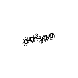 O=C(CCC(=O)N1CCN(c2ccncc2)CC1)c1ccc(-c2ccccc2)cc1